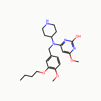 CCCCOc1cc(CN(c2cc(OC)nc(O)n2)C2CCNCC2)ccc1OC